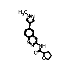 Cn1cc(-c2ccc3nnc(NC(=O)C4CCCO4)cc3c2)cn1